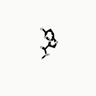 O=C(NI)c1cnc2ccc(Cl)nn12